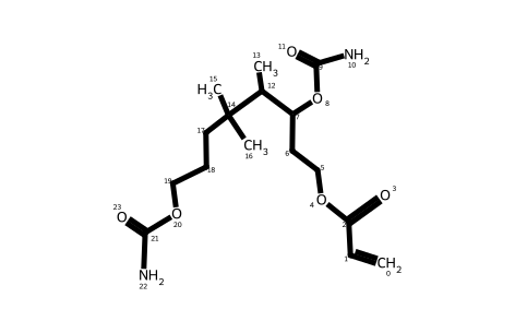 C=CC(=O)OCCC(OC(N)=O)C(C)C(C)(C)CCCOC(N)=O